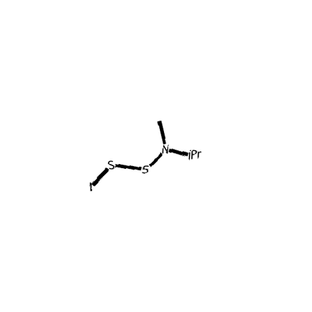 CC(C)N(C)SSI